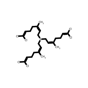 CC(=CCN(CC=C(C)CCC=C(Cl)Cl)CC=C(C)CCC=C(Cl)Cl)CCC=C(Cl)Cl